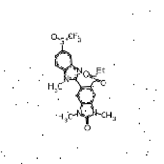 CCS(=O)(=O)c1cc2c(cc1-c1nc3cc([S+]([O-])C(F)(F)F)ccc3n1C)n(C)c(=O)n2C